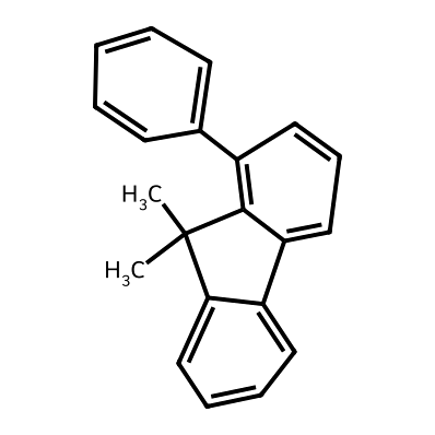 CC1(C)c2ccccc2-c2cccc(-c3ccccc3)c21